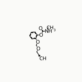 C#CCOCOc1ccccc1OC(=O)NC